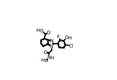 O=C(Cn1c(-c2ccc(Cl)c(O)c2F)nc2c(C(=O)O)cccc21)NO